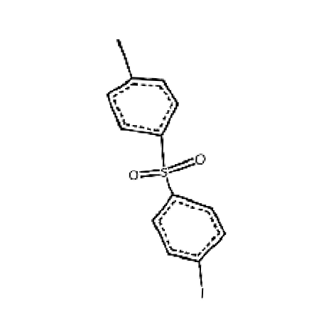 Cc1ccc(S(=O)(=O)c2ccc(I)cc2)cc1